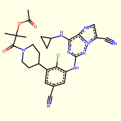 CC(=O)OC(C)(C)C(=O)N1CCC(c2cc(C#N)cc(Nc3nc(NC4CC4)c4ncc(C#N)n4n3)c2Cl)CC1